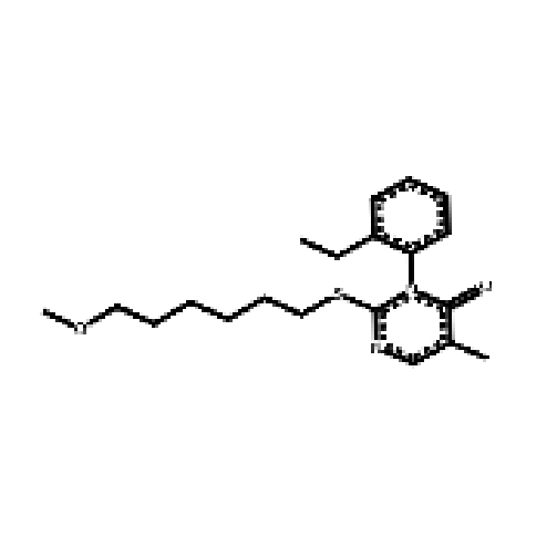 CCc1ccccc1-n1c(SCCCCCCOC)ncc(C)c1=O